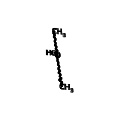 CCCCCCCCCCCCCCCCOC(O)CCCCCCCCCCC